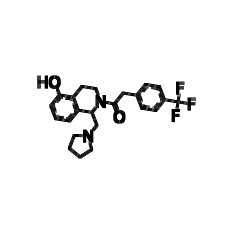 O=C(Cc1ccc(C(F)(F)F)cc1)N1CCc2c(O)cccc2C1CN1CCCC1